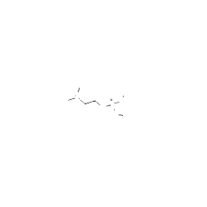 CN(C)CCSP(=O)(OC(C)(C)C)OC(C)(C)C